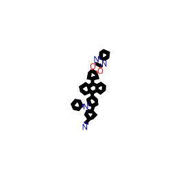 N#Cc1ccc2c3ccc(-c4c5ccccc5c(-c5ccc6c(c5)Oc5nc7ccccc7nc5O6)c5ccccc45)cc3n(-c3ccccc3)c2c1